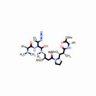 CC[C@H](C)[C@@H]([C@@H](CC(=O)N1CCC[C@H]1[C@H](OC)[C@@H](C)C(=O)N[C@H](C(=O)OC)C(C)C)OC)N(C)C(O)[C@@H](NC(=O)[C@H](C(C)C)N(C)C)C(C)N=[N+]=[N-]